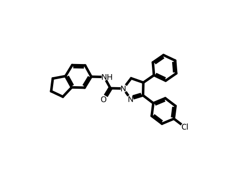 O=C(Nc1ccc2c(c1)CCC2)N1CC(c2ccccc2)C(c2ccc(Cl)cc2)=N1